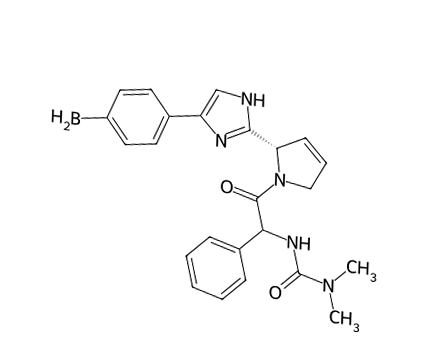 Bc1ccc(-c2c[nH]c([C@@H]3C=CCN3C(=O)C(NC(=O)N(C)C)c3ccccc3)n2)cc1